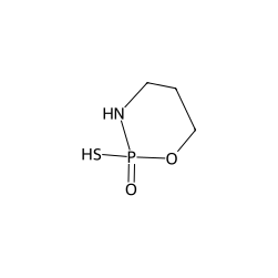 O=P1(S)NCCCO1